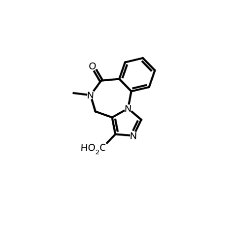 CN1Cc2c(C(=O)O)ncn2-c2ccccc2C1=O